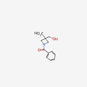 O=C(c1ccccc1)N1CC(CO)(C(=O)O)C1